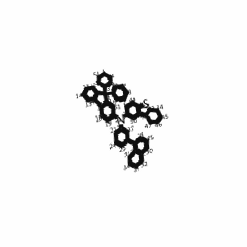 c1ccc(C2(c3ccccc3)c3ccccc3-c3ccc(N(c4cccc(-c5cccc6ccccc56)c4)c4ccc5sc6ccccc6c5c4)cc32)cc1